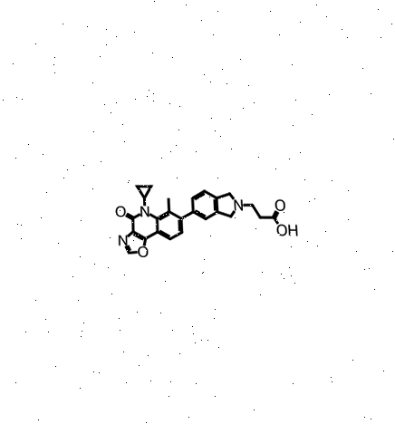 Cc1c(-c2ccc3c(c2)CN(CCC(=O)O)C3)ccc2c3ocnc3c(=O)n(C3CC3)c12